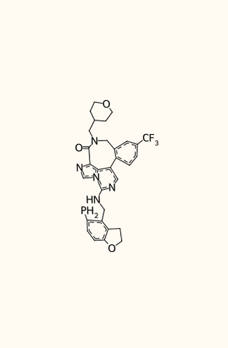 O=C1c2ncn3c(NCc4c(P)ccc5c4CCO5)ncc(c23)-c2ccc(C(F)(F)F)cc2CN1CC1CCOCC1